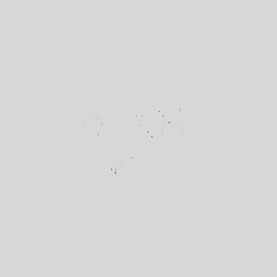 CC(C)(C#N)CC1C(CCc2ccccc2)C(=O)N1c1ccc(I)c2cccnc12